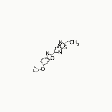 CCc1nn2cc(-c3nc4ccc(OC5CCC5)cc4o3)nc2s1